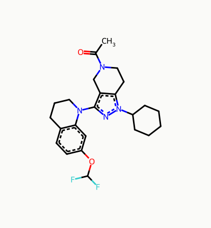 CC(=O)N1CCc2c(c(N3CCCc4ccc(OC(F)F)cc43)nn2C2CCCCC2)C1